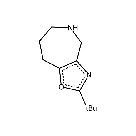 CC(C)(C)c1nc2c(o1)CCCNC2